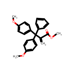 C=C(C(=O)OC)C(c1ccccc1)(c1ccc(OC)cc1)c1ccc(OC)cc1